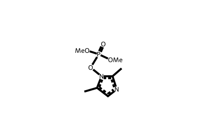 COP(=O)(OC)On1c(C)cnc1C